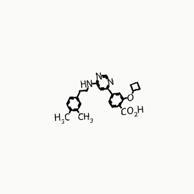 Cc1ccc(CCNc2cc(-c3ccc(C(=O)O)c(OC4CCC4)c3)ncn2)cc1C